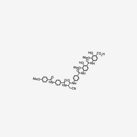 COc1ccc(C(=O)Nc2ccc(C(=O)NC(CC#N)C(=O)Nc3ccc(C(=O)Nc4ccc(C(=O)Nc5ccc(C(=O)O)c(O)c5OC)c(O)c4OC)cc3)cc2)cc1